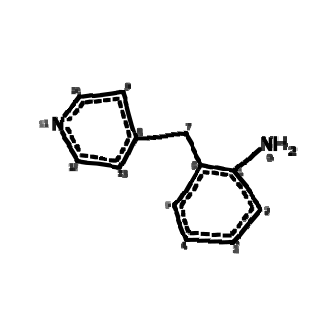 Nc1c[c]ccc1Cc1ccncc1